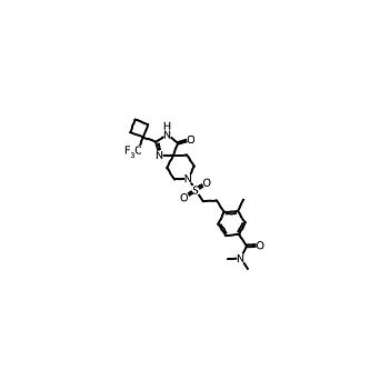 Cc1cc(C(=O)N(C)C)ccc1CCS(=O)(=O)N1CCC2(CC1)N=C(C1(C(F)(F)F)CCC1)NC2=O